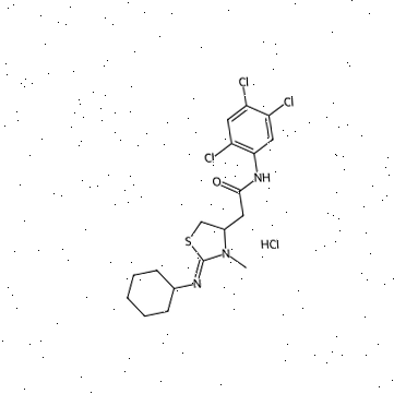 CN1/C(=N/C2CCCCC2)SCC1CC(=O)Nc1cc(Cl)c(Cl)cc1Cl.Cl